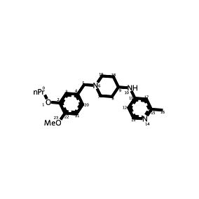 CCCOc1cc(CN2CCC(Nc3ccnc(C)c3)CC2)ccc1OC